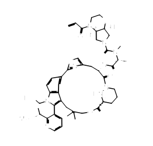 C=CC(=O)N1CCO[C@H]2CN(C(=O)N(C)[C@H](C(=O)N[C@H]3Cc4coc(n4)-c4ccc5c(c4)c(c(-c4cccnc4[C@H](C)OC)n5CC(F)(F)F)CC(C)(C)COC(=O)[C@@H]4CCCN(N4)C3=O)C(C)C)C[C@H]21